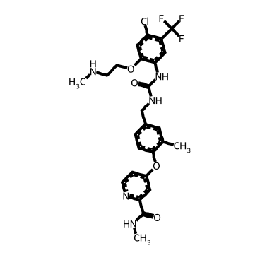 CNCCOc1cc(Cl)c(C(F)(F)F)cc1NC(=O)NCc1ccc(Oc2ccnc(C(=O)NC)c2)c(C)c1